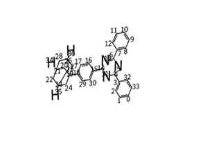 c1ccc(-c2nc(-c3ccccc3)nc(-c3ccc(C45C[C@H]6C[C@@H](C4)C[C@@H](C5)C6)cc3)n2)cc1